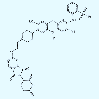 Cc1cc(Nc2ncc(Cl)c(Nc3ccccc3S(=O)(=O)C(C)C)n2)c(OC(C)C)cc1C1CCN(CCNc2ccc3c(c2)C(=O)N(C2CCC(=O)NC2=O)C3=O)CC1